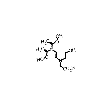 C=C(OO)N(CCN(CCO)CC(=O)O)C(=C)OO